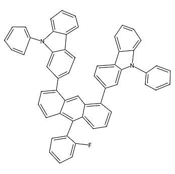 Fc1ccccc1-c1c2cccc(-c3ccc4c5ccccc5n(-c5ccccc5)c4c3)c2cc2c(-c3ccc4c5ccccc5n(-c5ccccc5)c4c3)cccc12